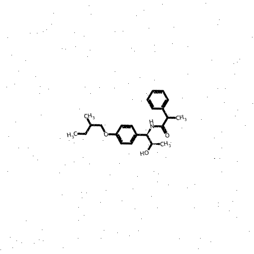 CCC(C)COc1ccc([C@@H](NC(=O)C(C)c2ccccc2)[C@@H](C)O)cc1